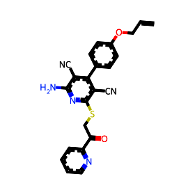 C=CCOc1ccc(-c2c(C#N)c(N)nc(SCC(=O)c3ccccn3)c2C#N)cc1